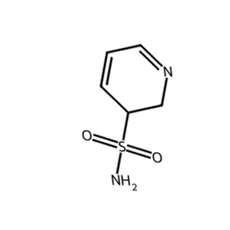 NS(=O)(=O)C1C=CC=NC1